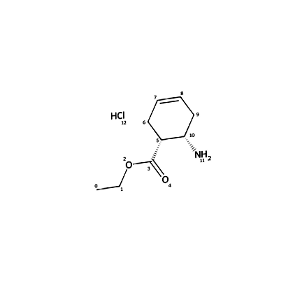 CCOC(=O)[C@@H]1CC=CC[C@@H]1N.Cl